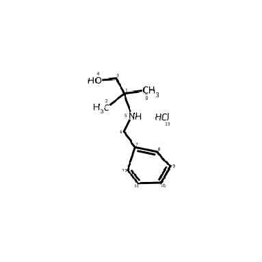 CC(C)(CO)NCc1ccccc1.Cl